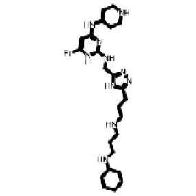 CCC1=CC(NC2CCNCC2)=NC(NCc2nnc(CCCNCCCNC3CCCCC3)[nH]2)N1